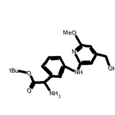 COc1cc(CO)cc(Nc2cccc(C(N)C(=O)OC(C)(C)C)c2)n1